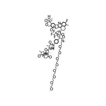 CC[C@@]1(O)C(=O)OCc2c1cc1n(c2=O)Cc2c-1nc1cc(F)c(C)c3c1c2[C@@H](N(CC(F)(F)C(F)F)C(=O)OC(C(=O)N(C)CCOCCOCCOCCOCCOCCOCCOCCOC)c1ccc(NC(=O)[C@H](C)NC(=O)[C@H](C)NC(=O)CCN2C(=O)CC(C)C2=O)cc1)CC3